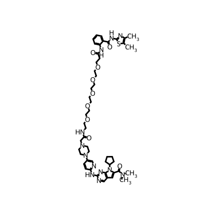 Cc1nc(NC(=O)c2ccccc2NC(=O)CCOCCOCCOCCOCCOCCNC(=O)CN2CCN(c3ccc(Nc4ncc5cc(C(=O)N(C)C)n(C6CCCC6)c5n4)nc3)CC2)sc1C